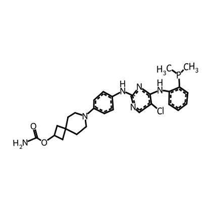 CP(C)c1ccccc1Nc1nc(Nc2ccc(N3CCC4(CC3)CC(OC(N)=O)C4)cc2)ncc1Cl